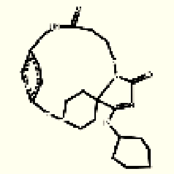 O=C1CCCN2C(=O)N=C(NC3CCCCC3)C23CCN(CC3)Cc2ccc(cc2)CN1